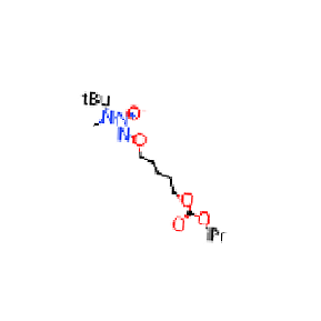 CC(C)OC(=O)OCCCCCO/N=[N+](\[O-])N(C)C(C)(C)C